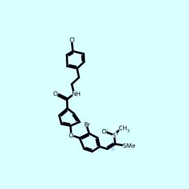 CS/C(=C/c1ccc(Oc2ccc(C(=O)NCCc3ccc(Cl)cc3)cc2)c(Br)c1)[S+](C)[O-]